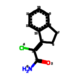 NC(=O)C(Cl)=C1CCc2ccccc21